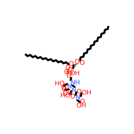 CCCCCCCCCCCCCCCCCC(=O)OC[C@H](COP(=O)(O)OCCNC(CN(CCN(CC(=O)O)CC(=O)O)CC(=O)O)N(CC(=O)O)CC(=O)O)OC(=O)CCCCCCCCCCCCCCCCC